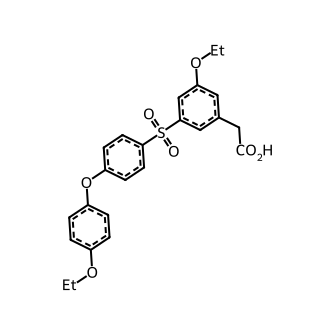 CCOc1ccc(Oc2ccc(S(=O)(=O)c3cc(CC(=O)O)cc(OCC)c3)cc2)cc1